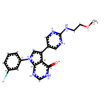 COCCNc1ncc(-c2cn(-c3cccc(F)c3)c3nc[nH]c(=O)c23)cn1